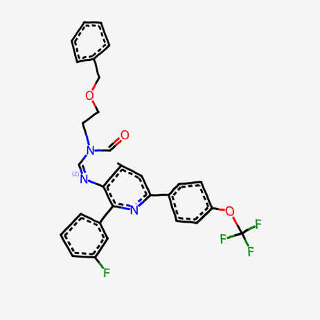 Cc1cc(-c2ccc(OC(F)(F)F)cc2)nc(-c2cccc(F)c2)c1/N=C\N(C=O)CCOCc1ccccc1